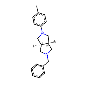 Cc1ccc(N2C[C@H]3CN(Cc4ccccc4)C[C@H]3C2)cc1